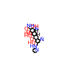 CN(C)c1cc(CNc2ccccn2)c(O)c2c1C[C@H]1C[C@H]3[C@H](N(C)C)C(O)=C(C(N)=O)C(=O)[C@@]3(O)C(O)=C1C2=O